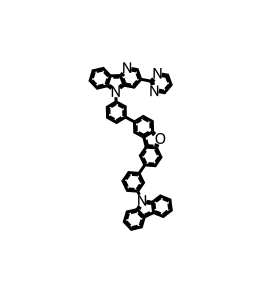 c1cnc(-c2cnc3c4ccccc4n(-c4cccc(-c5ccc6oc7ccc(-c8cccc(-n9c%10ccccc%10c%10ccccc%109)c8)cc7c6c5)c4)c3c2)nc1